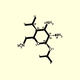 CC(C)O[C@H]1OC(CN)[C@@H](C(C)C)C(N)[C@@H]1N